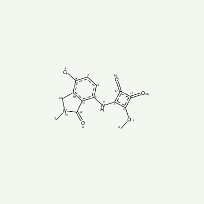 COc1c(Nc2ccc(Cl)c3c2C(=O)N(C)C3)c(=O)c1=O